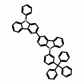 c1ccc(-n2c3ccccc3c3cc(-c4ccc5c(c4)c4ccccc4n5-c4cccc(C(c5ccccc5)(c5ccccc5)c5ccccc5)c4)ccc32)cc1